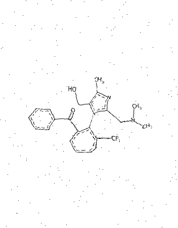 Cc1nc(CN(C)C)n(-c2c(C(=O)c3ccccc3)cccc2C(F)(F)F)c1CO